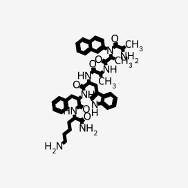 CC(N)C(=O)N(c1ccc2ccccc2c1)C(C)C(=O)NC(C)C(=O)NC(Cc1c[nH]c2ccccc12)C(=O)NC(Cc1ccccc1)C(=O)NC(CCCCN)C(N)=O